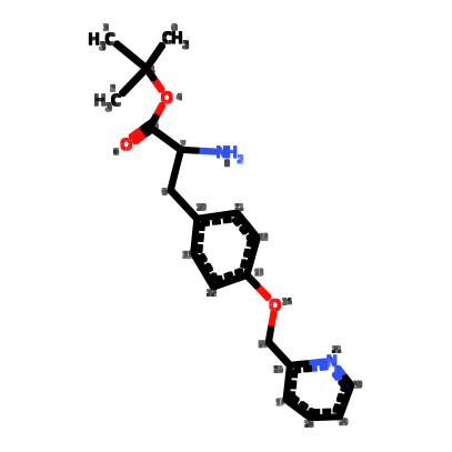 CC(C)(C)OC(=O)C(N)Cc1ccc(OCc2ccccn2)cc1